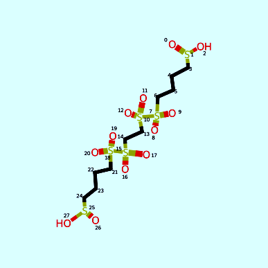 O=S(O)CCCCS(=O)(=O)S(=O)(=O)CCS(=O)(=O)S(=O)(=O)CCCCS(=O)O